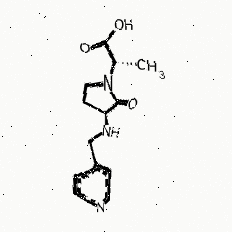 C[C@@H](C(=O)O)N1CC[C@H](NCc2ccncc2)C1=O